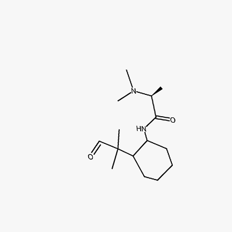 C[C@@H](C(=O)NC1CCCCC1C(C)(C)C=O)N(C)C